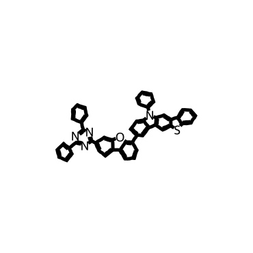 c1ccc(-c2nc(-c3ccccc3)nc(-c3ccc4c(c3)oc3c(-c5ccc6c(c5)c5cc7sc8ccccc8c7cc5n6-c5ccccc5)cccc34)n2)cc1